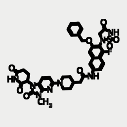 Cn1c(=O)n(C2CCC(=O)NC2=O)c2ccc(N3CCC(CC(=O)Nc4ccc5c(F)c(N6CC(=O)NS6(=O)=O)c(OCc6ccccc6)cc5c4)CC3)nc21